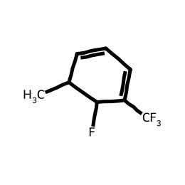 CC1C=CC=C(C(F)(F)F)C1F